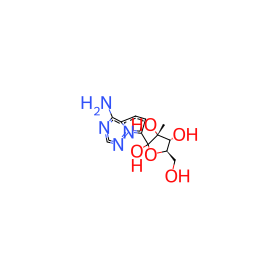 C[C@@]1(O)[C@H](O)[C@@H](CO)OC1(O)c1ccc2c(N)ncnn12